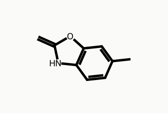 C=C1Nc2ccc(C)cc2O1